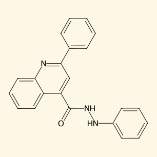 O=C(NNc1ccccc1)c1cc(-c2ccccc2)nc2ccccc12